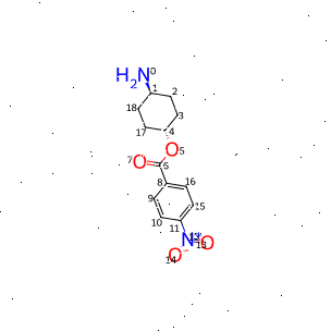 N[C@H]1CC[C@H](OC(=O)c2ccc([N+](=O)[O-])cc2)CC1